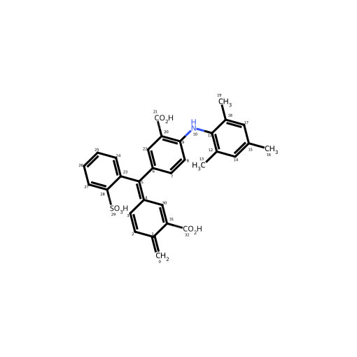 C=c1cc/c(=C(/c2ccc(Nc3c(C)cc(C)cc3C)c(C(=O)O)c2)c2ccccc2S(=O)(=O)O)cc1C(=O)O